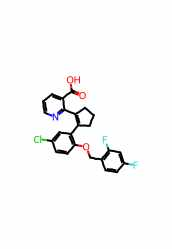 O=C(O)c1cccnc1C1=C(c2cc(Cl)ccc2OCc2ccc(F)cc2F)CCC1